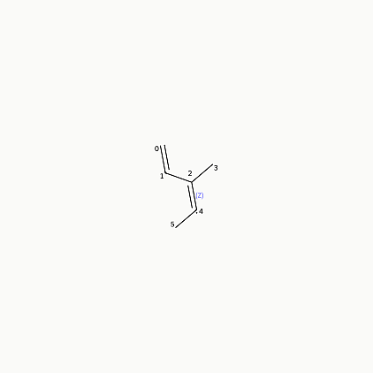 C=C/C(C)=[C]\C